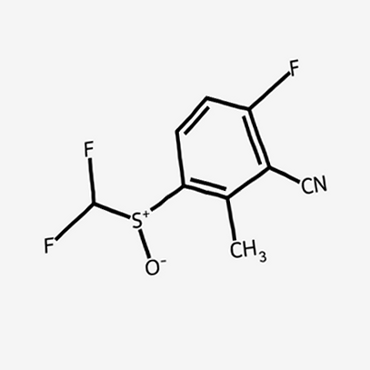 Cc1c([S+]([O-])C(F)F)ccc(F)c1C#N